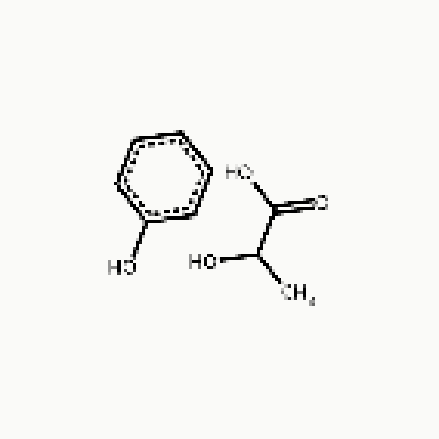 CC(O)C(=O)O.Oc1ccccc1